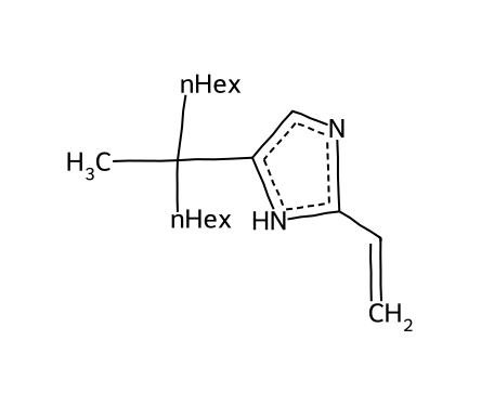 C=Cc1ncc(C(C)(CCCCCC)CCCCCC)[nH]1